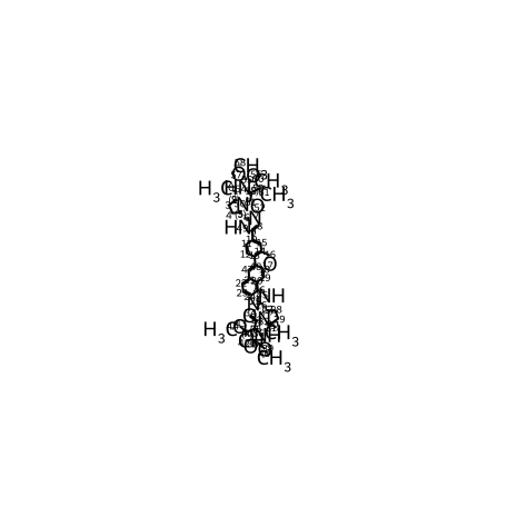 CC[C@H]1CC[C@@H](c2ncc(-c3ccc4c(c3)COc3cc5c(ccc6nc([C@@H]7CC[C@H](C)N7C(=O)[C@@H](NC(=O)OC)[C@@H](C)OC)[nH]c65)cc3-4)[nH]2)N1C(=O)[C@@H](NC(=O)OC)C(C)C